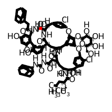 CC[C@H](CC(C)C)C(=O)N[C@H]1C(=O)C[C@@H](CC(=O)NC(=O)NC2C3CC4CC(C3)CC2C4)C(=O)N[C@H]2C(=O)C[C@H]3C(=O)N[C@H](C(=O)N[C@H](C(=O)CC4C5CC6CC(C5)CC4C6)c4cc(O)cc(O)c4-c4cc3ccc4O)[C@H](O)c3ccc(c(Cl)c3)Oc3cc2cc(c3O[C@@H]2O[C@H](CO)[C@@H](O)[C@H](O)[C@H]2O)Oc2ccc(cc2Cl)[C@H]1O